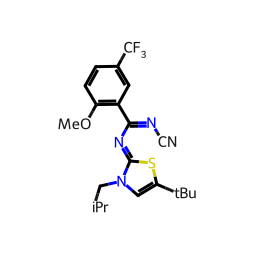 COc1ccc(C(F)(F)F)cc1C(=NC#N)/N=c1\sc(C(C)(C)C)cn1CC(C)C